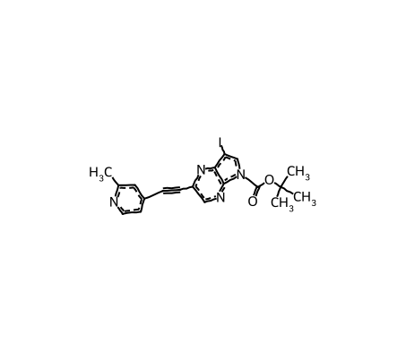 Cc1cc(C#Cc2cnc3c(n2)c(I)cn3C(=O)OC(C)(C)C)ccn1